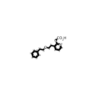 O=C(O)Oc1ncccc1CCOCCc1ccccc1